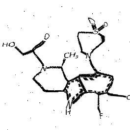 C[C@H]1c2c([nH]c3c(F)c(Cl)cc(N4CCS(=O)(=O)C4)c23)CCN1C(=O)CO